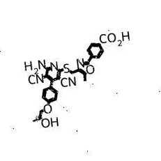 [C-]#[N+]c1c(N)nc(SCc2nc(-c3ccc(C(=O)O)cc3)oc2C)c(C#N)c1-c1ccc(OC[C@H](C)O)cc1